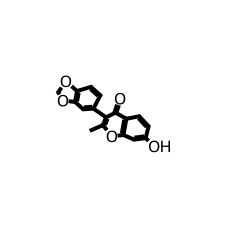 Cc1oc2cc(O)ccc2c(=O)c1-c1ccc2c(c1)OCO2